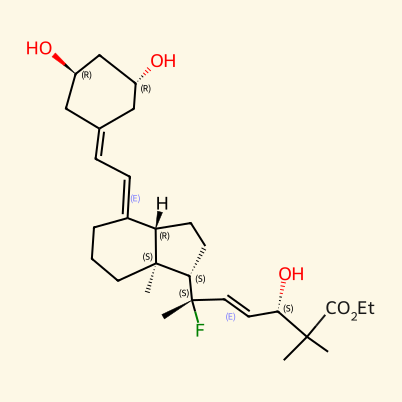 CCOC(=O)C(C)(C)[C@@H](O)/C=C/[C@](C)(F)[C@H]1CC[C@H]2/C(=C/C=C3C[C@@H](O)C[C@H](O)C3)CCC[C@@]21C